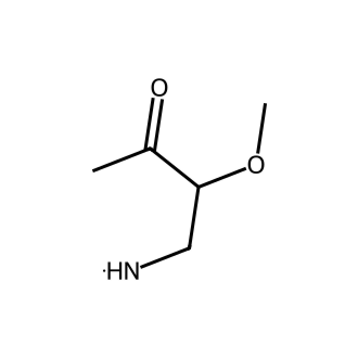 COC(C[NH])C(C)=O